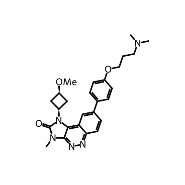 CO[C@H]1C[C@@H](n2c(=O)n(C)c3nnc4ccc(-c5ccc(OCCCN(C)C)cc5)cc4c32)C1